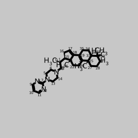 C[C@H](CN1CCN(c2ncccn2)CC1)[C@H]1CC=C2C3=C(CC[C@@]21C)[C@@]1(C)CCCC(C)(C)[C@@H]1CC3